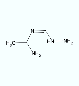 CC(N)/N=C\NN